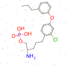 CCCc1cccc(Oc2ccc(CCC[C@@](C)(N)COP(=O)(O)O)c(Cl)c2)c1